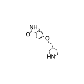 NC(=O)c1ccc(OCCC2CCNCC2)cc1